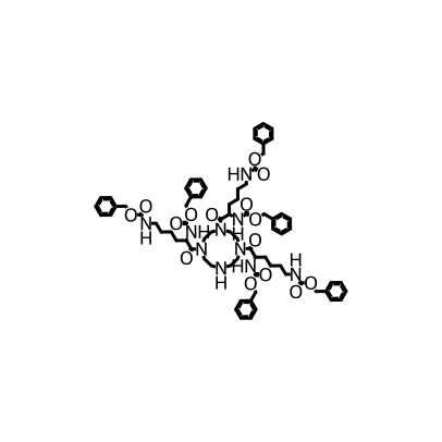 O=C(NCCCCC(NC(=O)OCc1ccccc1)C(=O)N1CCNCCN(C(=O)C(CCCCNC(=O)OCc2ccccc2)NC(=O)OCc2ccccc2)CCN(C(=O)C(CCCCNC(=O)OCc2ccccc2)NC(=O)OCc2ccccc2)CC1)OCc1ccccc1